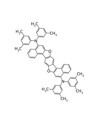 Cc1cc(C)cc(N(c2cc(C)cc(C)c2)c2cc3oc4cc5c(cc4c3c3ccccc23)oc2cc(N(c3cc(C)cc(C)c3)c3cc(C)cc(C)c3)c3ccccc3c25)c1